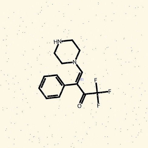 O=C(/C(=C/N1CCNCC1)c1ccccc1)C(F)(F)F